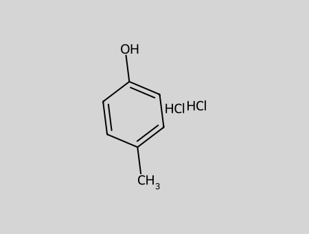 Cc1ccc(O)cc1.Cl.Cl